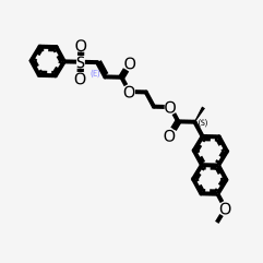 COc1ccc2cc([C@H](C)C(=O)OCCOC(=O)/C=C/S(=O)(=O)c3ccccc3)ccc2c1